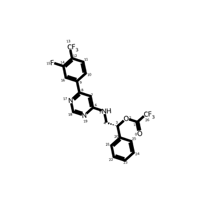 O=C(O[C@@H](CNc1cc(-c2ccc(C(F)(F)F)c(F)c2)ncn1)c1ccccc1)C(F)(F)F